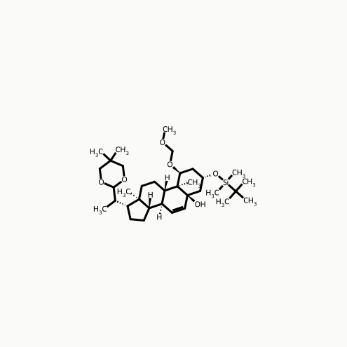 COCO[C@H]1C[C@H](O[Si](C)(C)C(C)(C)C)C[C@]2(O)C=C[C@H]3[C@@H]4CC[C@H](C(C)C5OCC(C)(C)CO5)[C@@]4(C)CC[C@@H]3[C@@]12C